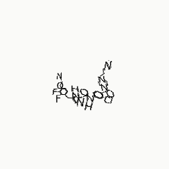 CN(C)CCCN1CCN(C(=O)c2ccc(NC(=O)c3ncc(Cc4ccc(OCC#N)c(F)c4F)[nH]3)cc2Cl)CC1